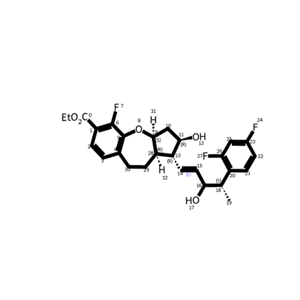 CCOC(=O)c1ccc2c(c1F)O[C@H]1C[C@@H](O)[C@H](/C=C/C(O)[C@@H](C)c3ccc(F)cc3F)[C@H]1CC2